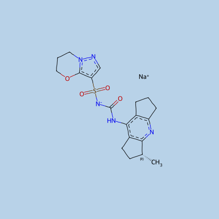 C[C@@H]1CCc2c1nc1c(c2NC(=O)[N-]S(=O)(=O)c2cnn3c2OCCC3)CCC1.[Na+]